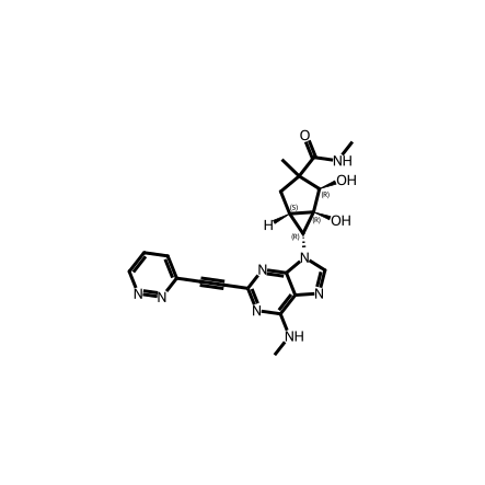 CNC(=O)C1(C)C[C@H]2[C@@H](n3cnc4c(NC)nc(C#Cc5cccnn5)nc43)[C@@]2(O)[C@@H]1O